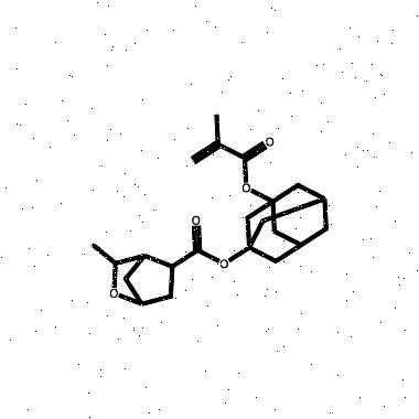 C=C(C)C(=O)OC12CC3CC(C1)CC(OC(=O)C1CC4CC1C(C)O4)(C3)C2